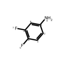 Nc1c[c]c(F)c(F)c1